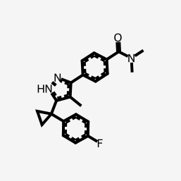 Cc1c(-c2ccc(C(=O)N(C)C)cc2)n[nH]c1C1(c2ccc(F)cc2)CC1